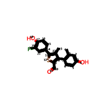 Cc1cc(O)ccc1-c1c(C=O)sc(-c2ccc(O)c(F)c2)c1C